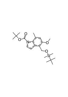 COc1cc(C)c2c(ccn2C(=O)OC(C)(C)C)c1CO[Si](C)(C)C(C)(C)C